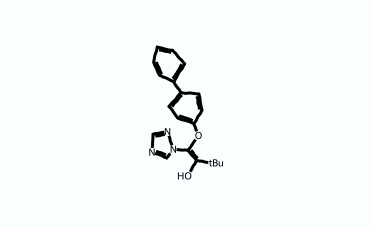 CC(C)(C)/C(O)=C(\Oc1ccc(-c2ccccc2)cc1)n1cncn1